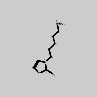 CCCCCCCCCCCCN1C=COC1Cl